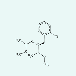 COC(C)O[C@@H](Cc1ccccc1Cl)C(C)OC